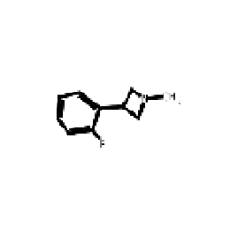 CN1CC(c2ccccc2F)C1